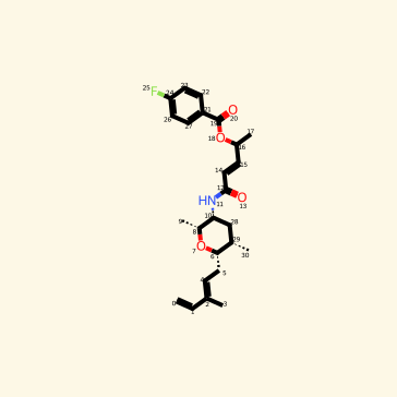 C=C/C(C)=C/C[C@@H]1O[C@H](C)[C@H](NC(=O)C=CC(C)OC(=O)c2ccc(F)cc2)C[C@@H]1C